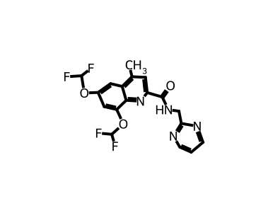 Cc1cc(C(=O)NCc2ncccn2)nc2c(OC(F)F)cc(OC(F)F)cc12